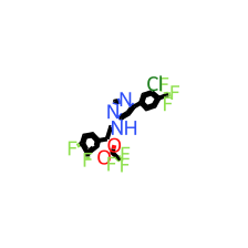 O=C(OC(CNc1cc(-c2ccc(C(F)(F)F)c(Cl)c2)ncn1)c1ccc(F)c(F)c1)C(F)(F)F